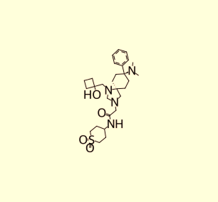 CN(C)[C@]1(c2ccccc2)CC[C@]2(CC1)CN(CC(=O)NC1CCS(=O)(=O)CC1)CN2CC1(O)CCC1